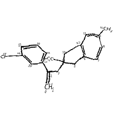 C=C(CC1(C)Cc2ccc(C)cc2C1)c1cccc(Cl)c1